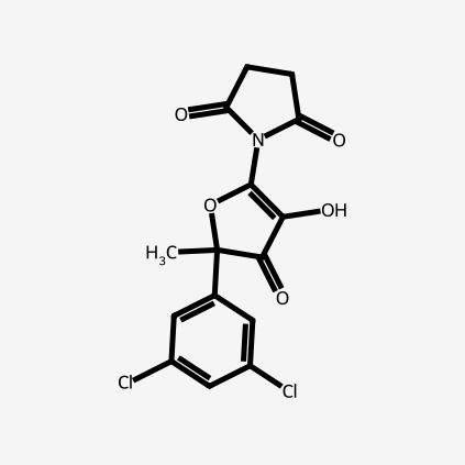 CC1(c2cc(Cl)cc(Cl)c2)OC(N2C(=O)CCC2=O)=C(O)C1=O